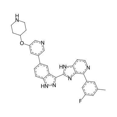 Cc1cc(F)cc(-c2nccc3[nH]c(-c4n[nH]c5ccc(-c6cncc(OC7CCNCC7)c6)cc45)nc23)c1